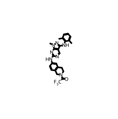 Cc1cccc(C)c1Nc1nn(C)c2nc(Nc3ccc4c(c3)CCN(C(=O)C(F)(F)F)C4)ncc12